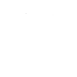 COc1ccc(CCc2cc(C(=O)O)c(C)c(C(=O)O)c2C2=c3ccc4c(c3CCC2)CC=c2cc(Cl)ccc2=4)cn1